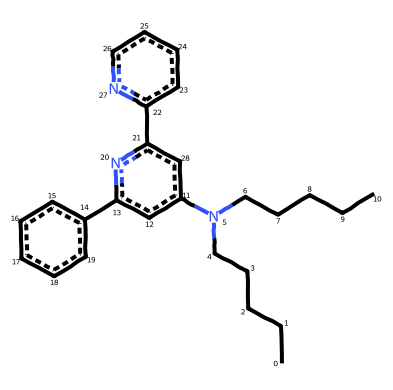 CCCCCN(CCCCC)c1cc(-c2ccccc2)nc(-c2ccccn2)c1